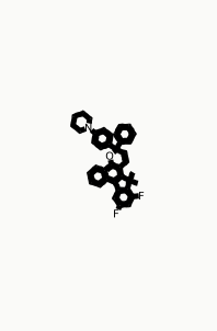 CC1(C)c2c(F)cc(F)cc2-c2c1c1c(c3ccccc23)OC(c2ccccc2)(c2ccc(N3CCCCC3)cc2)C=C1